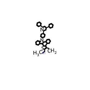 C=Cc1c(/C=C\C)sc2c1c1ccccc1c1c2c2ccccc2n1-c1ccc(-c2cc(-c3ccccc3)cc(-c3ccccc3)n2)cc1